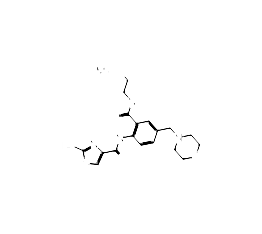 COCCNC(=O)c1cc(CN2CCOCC2)ccc1NC(=O)c1csc(Br)n1